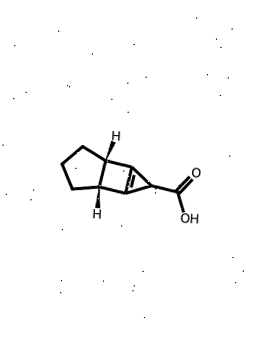 O=C(O)C1C2=C1[C@@H]1CCC[C@H]21